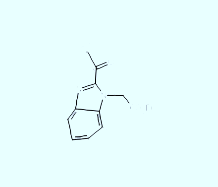 CCOC(=O)Cn1c(C(=O)Cl)nc2ccccc21